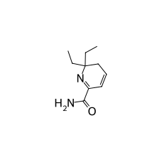 CCC1(CC)CC=CC(C(N)=O)=N1